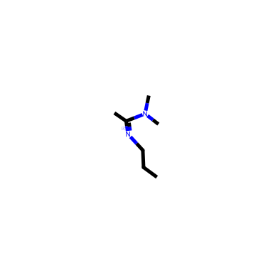 CCC/N=C(/C)N(C)C